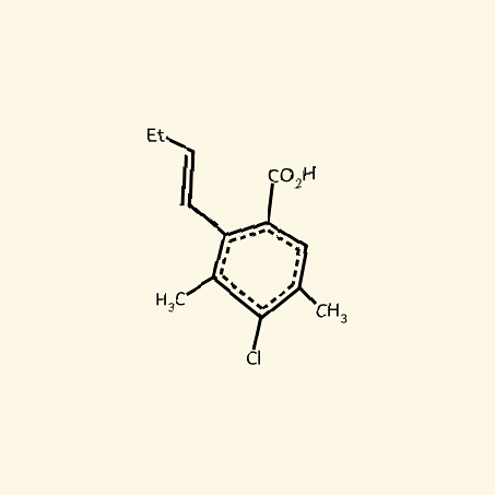 CCC=Cc1c(C(=O)O)cc(C)c(Cl)c1C